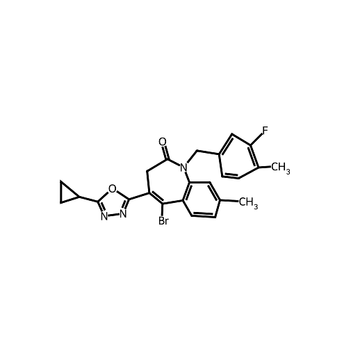 Cc1ccc2c(c1)N(Cc1ccc(C)c(F)c1)C(=O)CC(c1nnc(C3CC3)o1)=C2Br